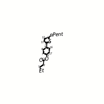 CC/C=C/C(=O)Oc1ccc(-c2ccc(CCCCC)s2)cc1